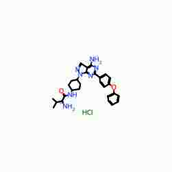 CC(C)[C@H](N)C(=O)NC1CCC(n2ncc3c(N)nc(-c4ccc(Oc5ccccc5)cc4)nc32)CC1.Cl